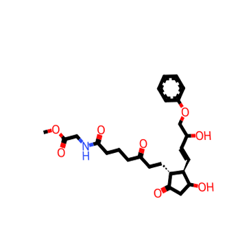 COC(=O)CNC(=O)CCCC(=O)CC[C@H]1C(=O)CC(O)[C@@H]1/C=C/C(O)COc1ccccc1